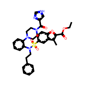 CCOC(=O)c1oc2ccc(S(=O)(=O)N(CCc3ccccc3)c3ccccc3N3CCN(C(=O)c4c[nH]cn4)CC3)cc2c1C